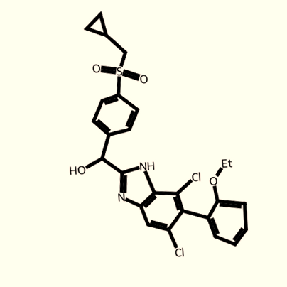 CCOc1ccccc1-c1c(Cl)cc2nc(C(O)c3ccc(S(=O)(=O)CC4CC4)cc3)[nH]c2c1Cl